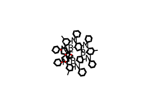 Cc1cc2c3c(c1)N(c1ccccc1)c1cc4c(cc1B3c1cc3c(cc1N2c1ccccc1)N(c1ccccc1)c1cc(C)cc2c1B3c1sc3ccccc3c1N2c1ccccc1)B1c2sc3ccccc3c2N(c2ccccc2)c2cc(C)cc(c21)N4c1ccccc1